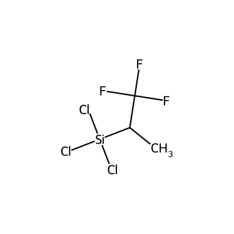 CC(C(F)(F)F)[Si](Cl)(Cl)Cl